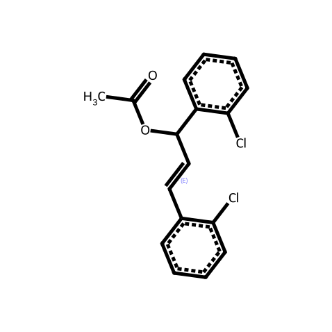 CC(=O)OC(/C=C/c1ccccc1Cl)c1ccccc1Cl